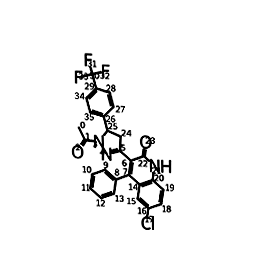 CC(=O)N1N=C(c2c(-c3ccccc3)c3cc(Cl)ccc3[nH]c2=O)CC1c1ccc(C(F)(F)F)cc1